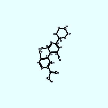 COC(=O)c1ccc(F)c(-c2c(F)cc(N3CCOCC3)cc2F)n1